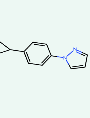 c1cnn(-c2ccc([C]3CC3)cc2)c1